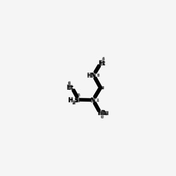 CCCCN(CNCC)[SiH2]CC